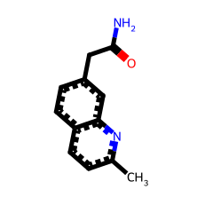 Cc1ccc2ccc(CC(N)=O)cc2n1